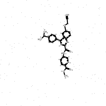 C#CCOc1ccc2nc(C(=O)Nc3ccc(C(=O)OC)nc3)nc(-c3ccc(C(C)C)cc3)c2c1